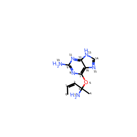 C/C=C\C(C)(N)Oc1nc(N)nc2[nH]cnc12